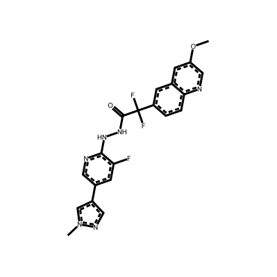 COc1cnc2ccc(C(F)(F)C(=O)NNc3ncc(-c4cnn(C)c4)cc3F)cc2c1